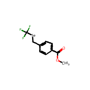 COC(=O)c1ccc(C[Se]C(F)(F)F)cc1